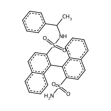 CC(NS(=O)(=O)c1ccc2ccccc2c1-c1c(S(N)(=O)=O)ccc2ccccc12)c1ccccc1